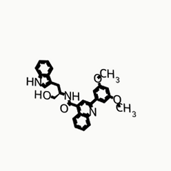 COc1cc(OC)cc(-c2cc(C(=O)N[C@@H](CO)Cc3c[nH]c4ccccc34)c3ccccc3n2)c1